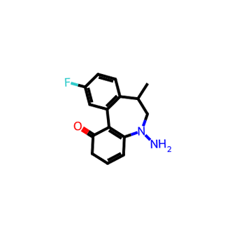 CC1CN(N)C2=C(C(=O)CC=C2)c2cc(F)ccc21